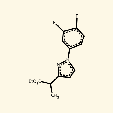 CCOC(=O)C(C)c1ccn(-c2ccc(F)c(F)c2)n1